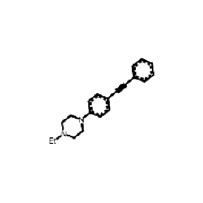 CCN1CCN(c2ccc(C#Cc3ccccc3)cc2)CC1